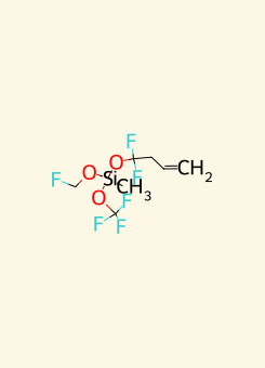 C=CCC(F)(F)O[Si](C)(OCF)OC(F)(F)F